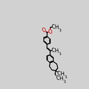 CCOC(=O)c1ccc(C=C(C)c2ccc3c(c2)CCC(C)(CC)CC3)cc1